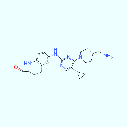 NCC1CCN(c2nc(Nc3ccc4c(c3)CCC(C=O)N4)ncc2C2CC2)CC1